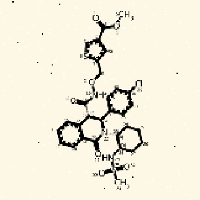 COC(=O)c1csc(CONC(=O)[C@H]2c3ccccc3C(=O)N([C@@H]3CCCC[C@H]3NS(C)(=O)=O)C2c2ccc(Cl)cc2)c1